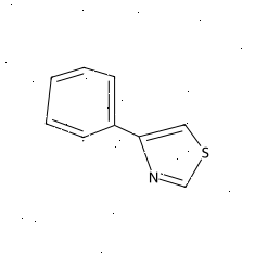 [c]1ccccc1-c1cscn1